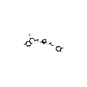 O=C(COc1ccc(Cl)c(F)c1)NC12CC(C1)C(NC(=O)C1C/C(=N\O)c3cc(F)ccc3O1)C2